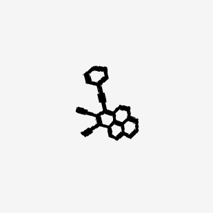 C#Cc1c(C#C)c2ccc3cccc4ccc(c1C#Cc1ccccc1)c2c34